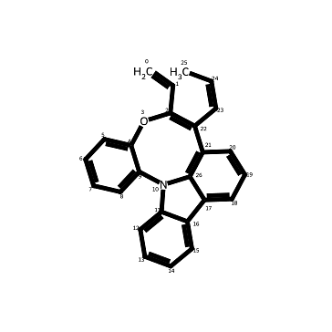 C=Cc1oc2ccccc2n2c3ccccc3c3cccc(c1/C=C\C)c32